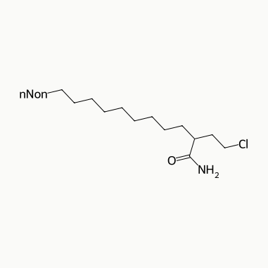 CCCCCCCCCCCCCCCCCCC(CCCl)C(N)=O